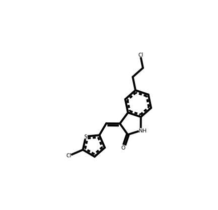 O=C1Nc2ccc(CCCl)cc2C1=Cc1ccc(Cl)s1